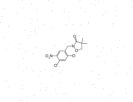 CC1(C)CON(Cc2cc([N+](=O)[O-])c(Cl)cc2Cl)C1=O